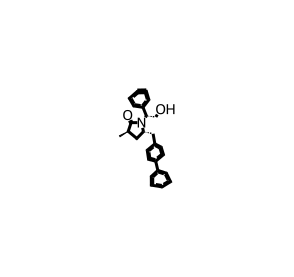 C[C@@H]1C[C@@H](Cc2ccc(-c3ccccc3)cc2)N([C@@H](CO)c2cc#ccc2)C1=O